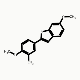 COc1ccc2cc(-c3ccc(OC)c(C)c3)sc2c1